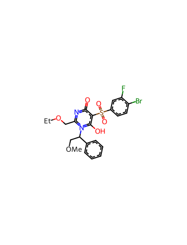 CCOCc1nc(=O)c(S(=O)(=O)c2ccc(Br)c(F)c2)c(O)n1C(COC)c1ccccc1